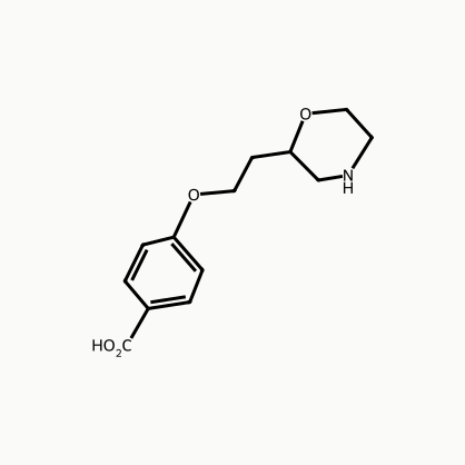 O=C(O)c1ccc(OCCC2CNCCO2)cc1